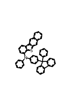 c1ccc(N(c2ccc(C3(c4ccccc4)c4ccccc4-c4ccccc43)cc2)c2cccc3c2sc2cc4ccccc4cc23)cc1